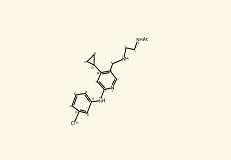 CC(=O)NCCNCc1cnc(Nc2cccc(Cl)c2)cc1C1CC1